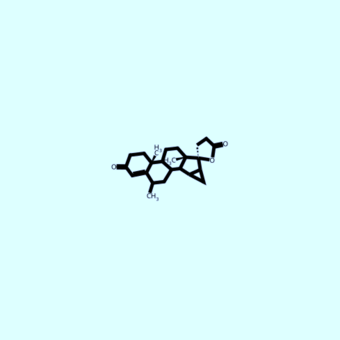 CC1CC2C(CC[C@@]3(C)C2C2CC2[C@@]32CCC(=O)O2)[C@@]2(C)CCC(=O)C=C12